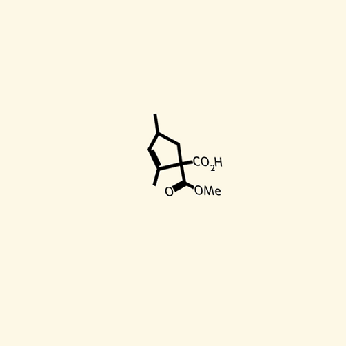 COC(=O)C1(C(=O)O)CC(C)C=C1C